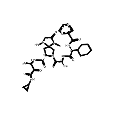 CCCC(NC(=O)[C@@H]1CC2(CN1C(=O)[C@@H](NC(=O)[C@@H](NC(=O)c1cnccn1)C1CCCCC1)C(C)(C)C)N(CCC)CC(=O)N2C)C(=O)C(=O)NC1CC1